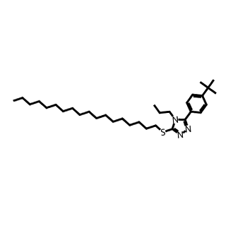 CCCCCCCCCCCCCCCCCCSc1nnc(-c2ccc(C(C)(C)C)cc2)n1CCC